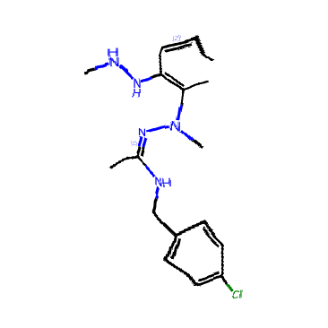 C/C=C\C(NNC)=C(C)N(C)/N=C(/C)NCc1ccc(Cl)cc1